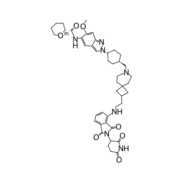 COc1cc2nn([C@H]3CC[C@H](CN4CCC5(CC4)CC(CCNc4cccc6c4C(=O)N(C4CCC(=O)NC4=O)C6=O)C5)CC3)cc2cc1NC(=O)[C@H]1CCCCO1